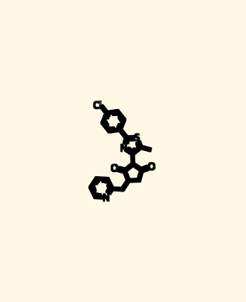 Cc1sc(-c2ccc(Cl)cc2)nc1C1C(=O)CC(Cc2ccccn2)C1=O